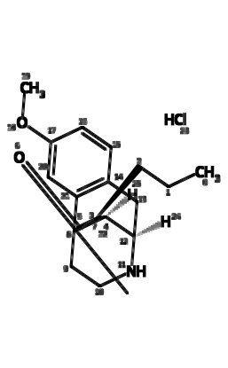 CCC[C@H]1CC(=O)C[C@]23CCN[C@H](Cc4ccc(OC)cc42)[C@H]13.Cl